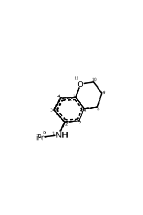 CC(C)Nc1ccc2c(c1)CCCO2